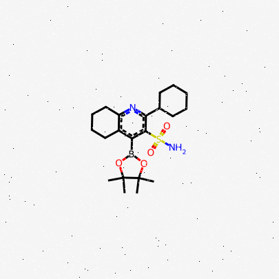 CC1(C)OB(c2c3c(nc(C4CCCCC4)c2S(N)(=O)=O)CCCC3)OC1(C)C